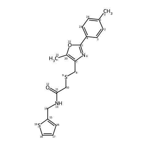 Cc1ccc(-c2nc(CSCC(=O)NCc3cccs3)c(C)o2)cc1